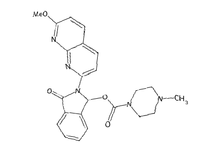 COc1ccc2ccc(N3C(=O)c4ccccc4C3OC(=O)N3CCN(C)CC3)nc2n1